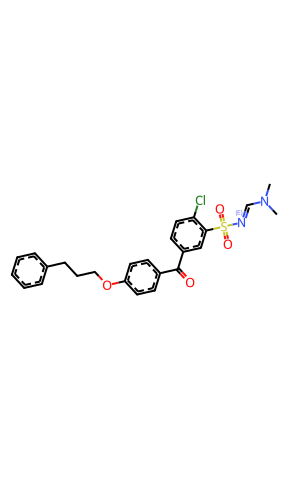 CN(C)/C=N/S(=O)(=O)c1cc(C(=O)c2ccc(OCCCc3ccccc3)cc2)ccc1Cl